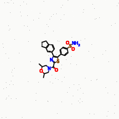 CC1CN(C(=O)c2nc(-c3ccc4c(c3)CCC4)c(-c3ccc(S(N)(=O)=O)cc3)s2)CC(C)O1